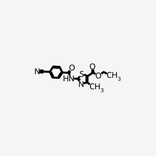 CCOC(=O)c1sc(NC(=O)c2ccc(C#N)cc2)nc1C